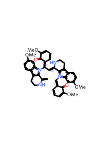 C=C1NCCc2c1n(C(/C=C1\NCCc3c1n(/C=C1/C=CC=C(OC)C1=O)c1cc(OC)ccc31)=C1/C=CC=C(OC)C1=O)c1cc(OC)ccc21